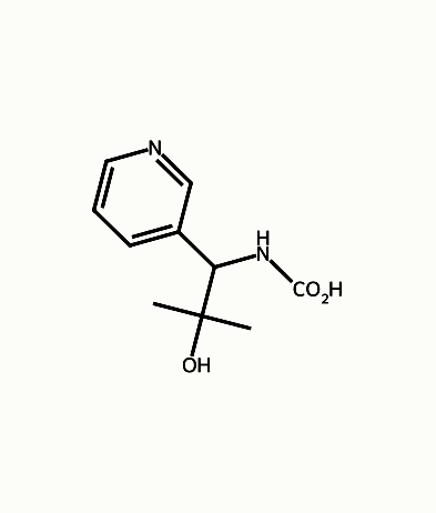 CC(C)(O)C(NC(=O)O)c1cccnc1